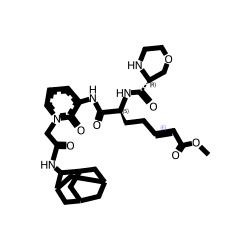 COC(=O)/C=C/CC[C@H](NC(=O)[C@H]1COCCN1)C(=O)Nc1cccn(CC(=O)NC2C3CC4CC(C3)CC2C4)c1=O